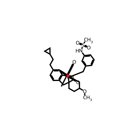 COC1CCC2(CC1)Cc1ccc(CCC3CC3)cc1C21NC(=O)N(Cc2cccc(NS(C)(=O)=O)c2)C1=O